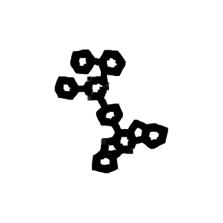 c1ccc(-c2nc(-c3ccc(-c4c5c(nc6c4oc4ccccc46)-c4ccccc4C5)cc3)nc(-c3ccccc3-c3ccccc3)n2)cc1